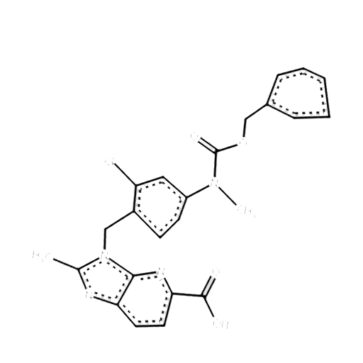 Cc1nc2ccc(C(=O)O)nc2n1Cc1ccc(N(C)C(=O)OCc2ccccc2)cc1Cl